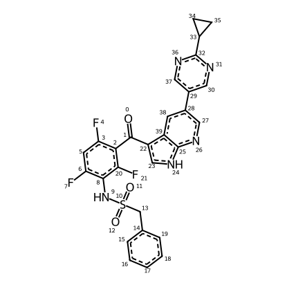 O=C(c1c(F)cc(F)c(NS(=O)(=O)Cc2ccccc2)c1F)c1c[nH]c2ncc(-c3cnc(C4CC4)nc3)cc12